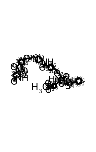 CS(=O)(=O)n1ccc(C(=O)N[C@@H](COCc2ccc(C(=O)NC3CCN(CCOc4ccc5c(c4)C(=O)N(C4CCC(=O)NC4=O)C5=O)CC3)cc2)C(=O)Nc2nc(-c3ccccc3)cs2)c1